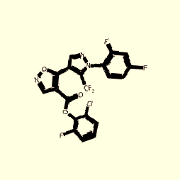 O=C(Oc1c(F)cccc1Cl)c1cnoc1-c1cnn(-c2ccc(F)cc2F)c1C(F)(F)F